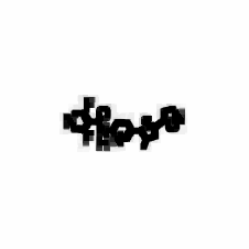 CC1C=C(c2ccno2)SC1c1ccc(NC(=O)c2c(F)cncc2F)nc1